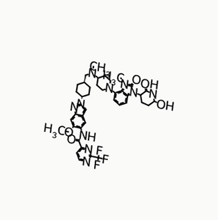 COc1cc2nn([C@H]3CC[C@H](CN(C)C4CCN(c5cccc6c5n(C)c(=O)n6C5CCC(O)NC5=O)CC4)CC3)cc2cc1NC(=O)c1ccnc(C(F)(F)F)n1